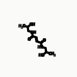 CC(O)CNC(=O)C=CC(=O)NCC(C)O